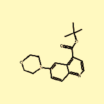 CC(C)(C)OC(=O)c1ccnc2ccc(N3CCOCC3)cc12